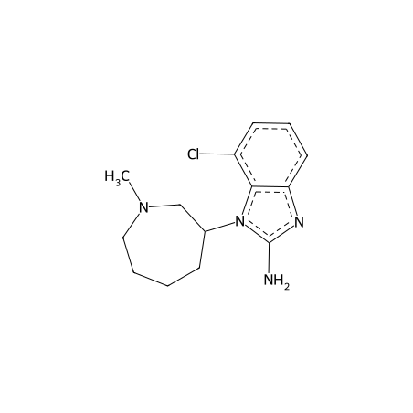 CN1CCCCC(n2c(N)nc3cccc(Cl)c32)C1